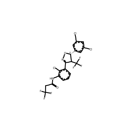 O=C(CC(F)(F)F)Nc1cccc(C2=NO[C@H](c3cc(Cl)cc(Cl)c3)C2C(F)(F)F)c1Cl